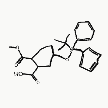 COC(=O)C1CCC(O[Si](c2ccccc2)(c2ccccc2)C(C)(C)C)CC1C(=O)O